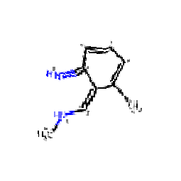 CN/C=C1\C(=N)C=CC=C1C